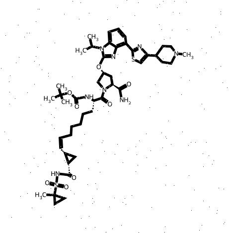 CC(C)n1c(O[C@@H]2C[C@@H](C(N)=O)N(C(=O)[C@H](CCCCC/C=C\[C@@H]3C[C@@H]3C(=O)NS(=O)(=O)C3(C)CC3)NC(=O)OC(C)(C)C)C2)nc2c(-c3nc(C4CCN(C)CC4)cs3)cccc21